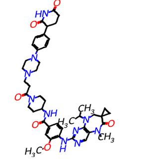 COc1cc(C(=O)NC2CCN(C(=O)CCN3CCN(c4ccc(C5CCC(=O)NC5=O)cc4)CC3)CC2)ccc1Nc1ncc2c(n1)N(C(C)C)CC1(CC1)C(=O)N2C